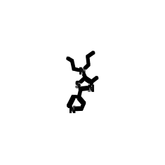 CCCN(CCC)c1sc(-c2ccncc2)nc1C